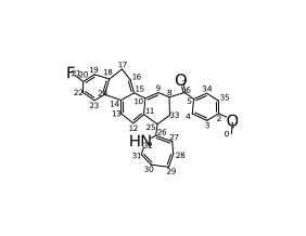 COc1ccc(C(=O)C2C=c3c(ccc4c3=CCc3cc(F)ccc3-4)C(C3=CC=CC=CN3)C2)cc1